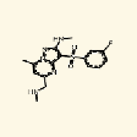 CNCc1cc(C)n2nc(NC)c(S(=O)(=O)c3cccc(F)c3)c2n1